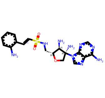 Nc1ccccc1/C=C/S(=O)(=O)NC[C@H]1OC[C@](N)(n2cnc3c(N)ncnc32)[C@@H]1N